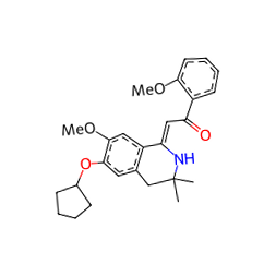 COc1cc2c(cc1OC1CCCC1)CC(C)(C)NC2=CC(=O)c1ccccc1OC